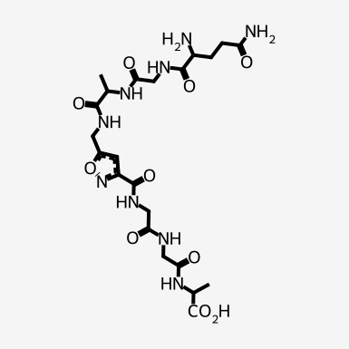 CC(NC(=O)CNC(=O)CNC(=O)c1cc(CNC(=O)C(C)NC(=O)CNC(=O)C(N)CCC(N)=O)on1)C(=O)O